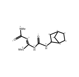 CNC(=O)N=C(NC(=O)NC1CC2CCC1C2)SC